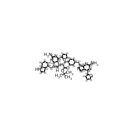 CC(C)(C)OC(=O)N(Cc1ccc(Cn2nnc3c(-c4ccco4)nc(N)nc32)cc1)N1NN(Cc2cccc3[nH]ccc23)c2nc(N)nc(-c3ccco3)c21